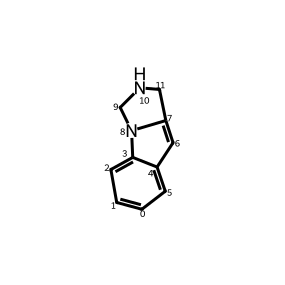 c1ccc2c(c1)cc1n2CNC1